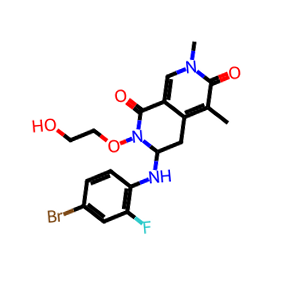 Cc1c2c(cn(C)c1=O)C(=O)N(OCCO)C(Nc1ccc(Br)cc1F)C2